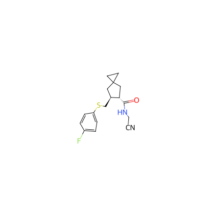 N#CCNC(=O)[C@H]1CC2(CC2)C[C@@H]1CSc1ccc(F)cc1